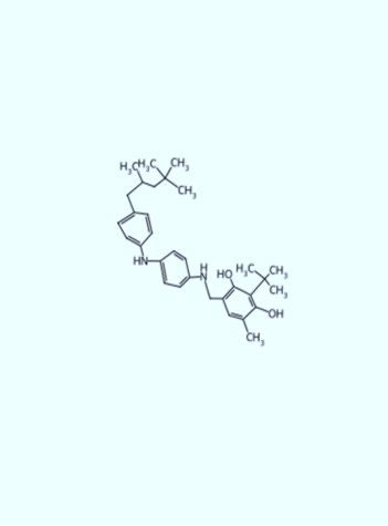 Cc1cc(CNc2ccc(Nc3ccc(CC(C)CC(C)(C)C)cc3)cc2)c(O)c(C(C)(C)C)c1O